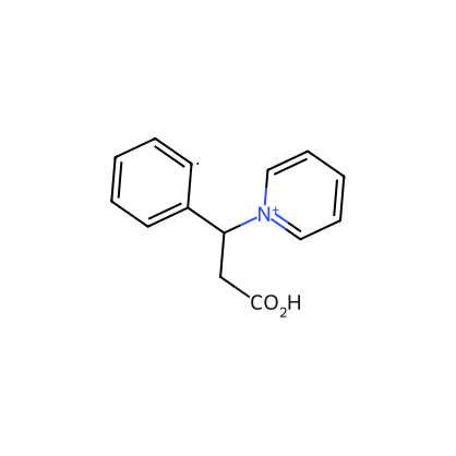 O=C(O)CC(c1[c]cccc1)[n+]1ccccc1